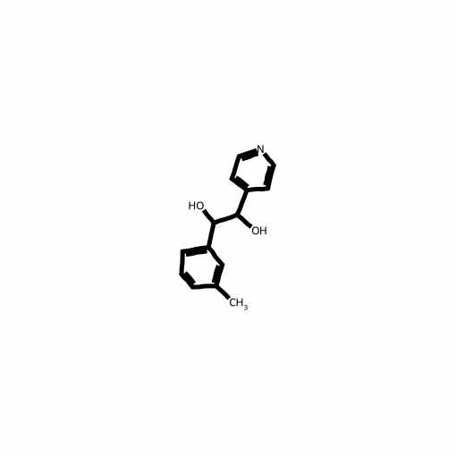 Cc1cccc(C(O)C(O)c2ccncc2)c1